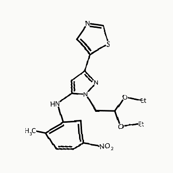 CCOC(Cn1nc(-c2cncs2)cc1Nc1cc([N+](=O)[O-])ccc1C)OCC